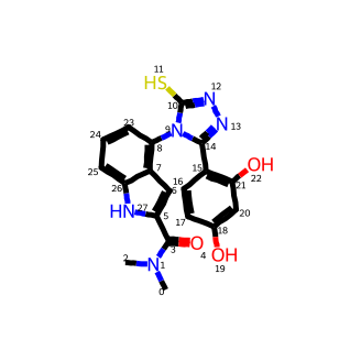 CN(C)C(=O)c1cc2c(-n3c(S)nnc3-c3ccc(O)cc3O)cccc2[nH]1